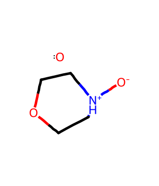 [O-][NH+]1CCOCC1.[O]